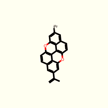 C=C(C)c1cc2ccc3oc4cc(C(C)C)cc5ccc6oc(c1)c2c3-c6c54